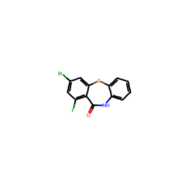 O=C1Nc2ccccc2Sc2cc(Br)cc(F)c21